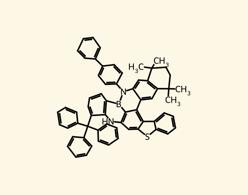 CC1(C)CCC(C)(C)c2cc3c(cc21)-c1c2c(cc4sc5ccccc5c14)Nc1c(cccc1C(c1ccccc1)(c1ccccc1)c1ccccc1)B2N3c1ccc(-c2ccccc2)cc1